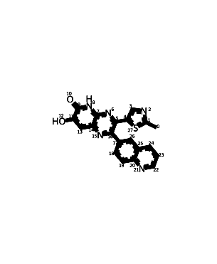 Cc1ncc(-c2nc3[nH]c(=O)c(O)cc3nc2-c2ccc3ncccc3c2)s1